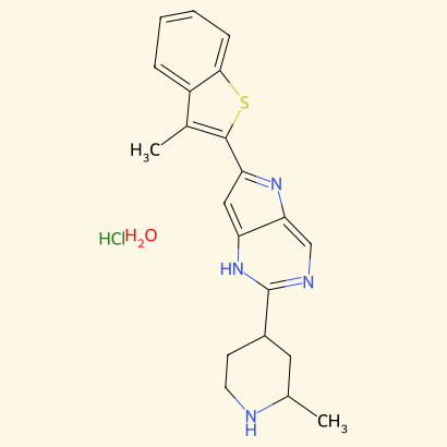 Cc1c(-c2cc3[nH]c(C4CCNC(C)C4)ncc-3n2)sc2ccccc12.Cl.O